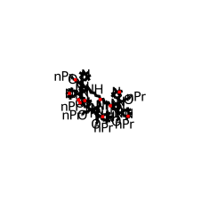 CCCOCCN(c1nc(NCCCCC(CCCNc2nc(N(CCOCCC)C3CC(C)(C)N(C)C(C)(C)C3)nc(N(CCOCCC)C3CC(C)(C)N(C)C(C)(C)C3)n2)CNc2nc(N(CCOCCC)C3CC(C)(C)N(C)C(C)(C)C3)nc(N(CCOCCC)C3CC(C)(C)N(C)C(C)(C)C3)n2)nc(N(CCOCCC)C2CC(C)(C)N(C)C(C)(C)C2)n1)C1CC(C)(C)N(C)C(C)(C)C1